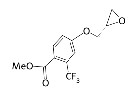 COC(=O)c1ccc(OC[C@@H]2CO2)cc1C(F)(F)F